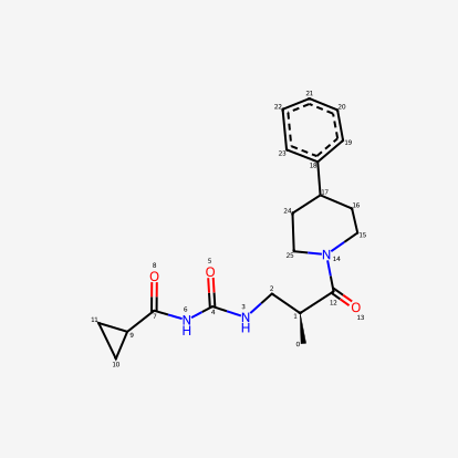 C[C@@H](CNC(=O)NC(=O)C1CC1)C(=O)N1CCC(c2ccccc2)CC1